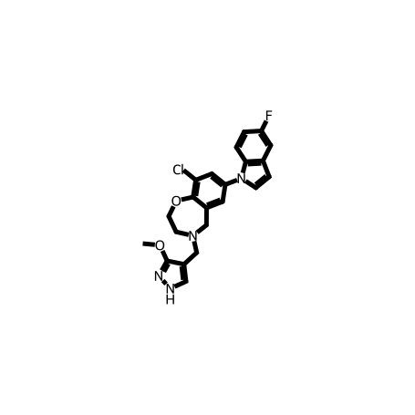 COc1n[nH]cc1CN1CCOc2c(Cl)cc(-n3ccc4cc(F)ccc43)cc2C1